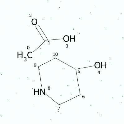 CC(=O)O.OC1CCNCC1